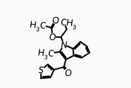 CCC(OC(C)=O)n1c(C)c(C(=O)c2ccsc2)c2ccccc21